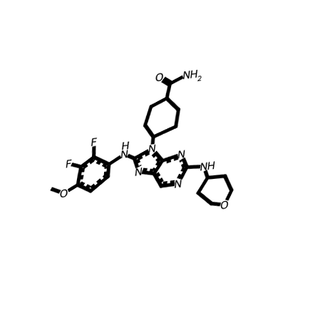 COc1ccc(Nc2nc3cnc(NC4CCOCC4)nc3n2C2CCC(C(N)=O)CC2)c(F)c1F